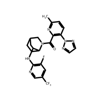 Cc1ccc(-n2nccn2)c(C(=O)N2CC3CCC2C(Nc2ncc(C(F)(F)F)cc2F)C3)n1